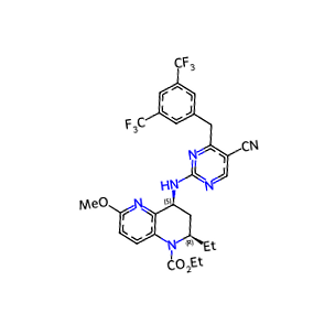 CCOC(=O)N1c2ccc(OC)nc2[C@@H](Nc2ncc(C#N)c(Cc3cc(C(F)(F)F)cc(C(F)(F)F)c3)n2)C[C@H]1CC